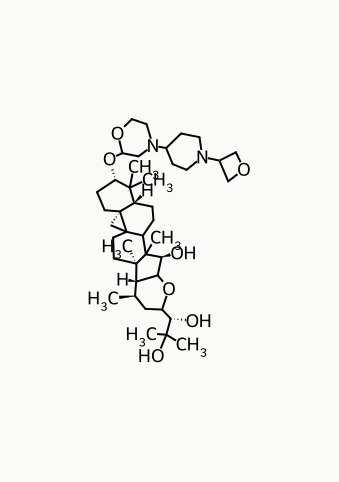 C[C@@H]1CC([C@H](O)C(C)(C)O)OC2[C@H]1[C@@]1(C)CCC34C[C@@]35CC[C@H](OC3CN(C6CCN(C7COC7)CC6)CCO3)C(C)(C)[C@@H]5CCC4C1(C)[C@H]2O